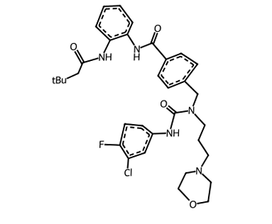 CC(C)(C)CC(=O)Nc1ccccc1NC(=O)c1ccc(CN(CCCN2CCOCC2)C(=O)Nc2ccc(F)c(Cl)c2)cc1